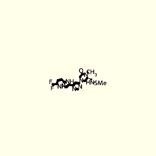 CSNC[C@@H]1CN(c2cc(-c3cnc(/C=C\C(=N)C(F)F)[nH]3)ncn2)CC(=O)N1C